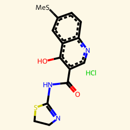 CSc1ccc2ncc(C(=O)NC3=NCCS3)c(O)c2c1.Cl